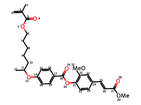 C=C(C)C(=O)OCCCCCC(C)Oc1ccc(C(=O)Oc2ccc(/C=C/C(=O)OC)cc2OC)cc1